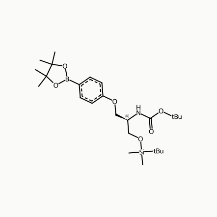 CC(C)(C)OC(=O)N[C@H](COc1ccc(B2OC(C)(C)C(C)(C)O2)cc1)CO[Si](C)(C)C(C)(C)C